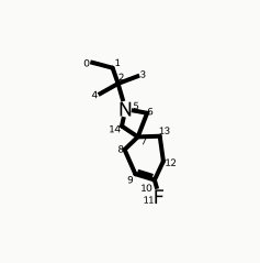 CCC(C)(C)N1CC2(CC=C(F)CC2)C1